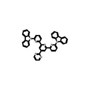 c1cnc(-c2cc(-c3cccc(-n4c5ccccc5c5ccccc54)n3)nc(-c3cccc(-n4c5ccccc5c5ccccc54)n3)c2)nc1